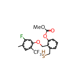 COC(=O)Oc1cccc(CS)c1COc1cc(F)c(C)cc1C(F)(F)F